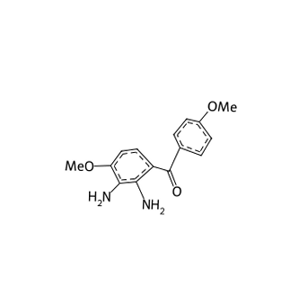 COc1ccc(C(=O)c2ccc(OC)c(N)c2N)cc1